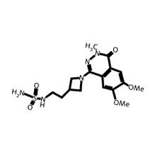 COc1cc2c(N3CC(CCNS(N)(=O)=O)C3)nn(C)c(=O)c2cc1OC